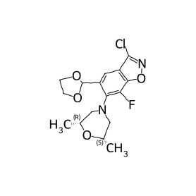 C[C@@H]1CN(c2c(C3OCCO3)cc3c(Cl)noc3c2F)C[C@H](C)O1